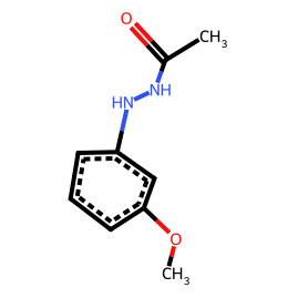 COc1cccc(NNC(C)=O)c1